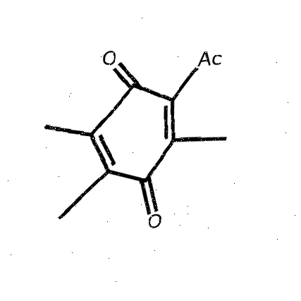 CC(=O)C1=C(C)C(=O)C(C)=C(C)C1=O